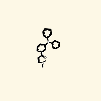 CN(C)/C=C\C(=O)c1cccc(P(c2ccccc2)c2ccccc2)c1